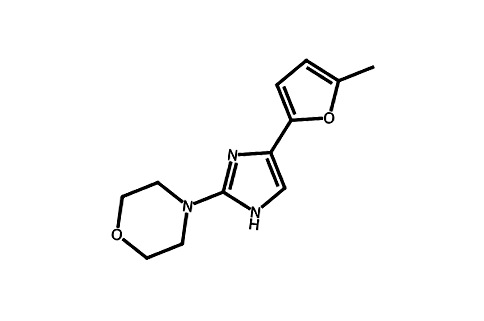 Cc1ccc(-c2c[nH]c(N3CCOCC3)n2)o1